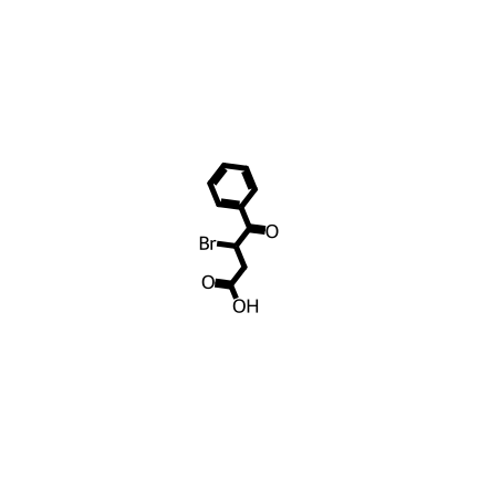 O=C(O)CC(Br)C(=O)c1ccccc1